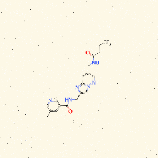 Cc1cncc(C(=O)NCc2cn3ncc(CNC(=O)CCC(F)(F)F)cc3n2)c1